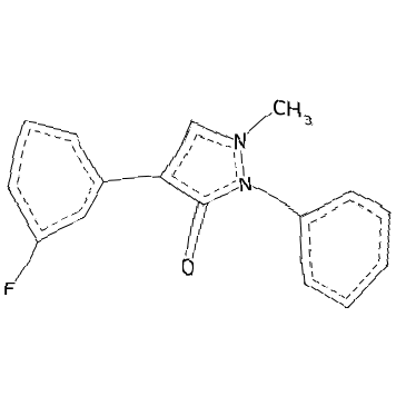 Cn1cc(-c2cccc(F)c2)c(=O)n1-c1ccccc1